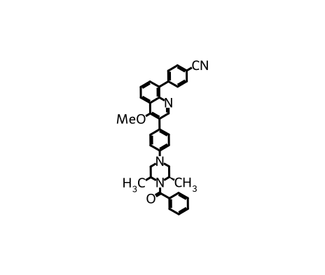 COc1c(-c2ccc(N3CC(C)N(C(=O)c4ccccc4)[C@H](C)C3)cc2)cnc2c(-c3ccc(C#N)cc3)cccc12